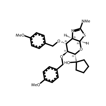 CNC1=N[C@@H]2[C@@H](OCc3ccc(OC)cc3)[C@H](OCc3ccc(OC)cc3)[C@@H](C3(O)CCCC3)O[C@@H]2S1